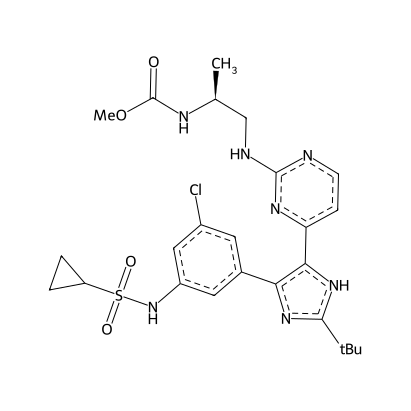 COC(=O)N[C@@H](C)CNc1nccc(-c2[nH]c(C(C)(C)C)nc2-c2cc(Cl)cc(NS(=O)(=O)C3CC3)c2)n1